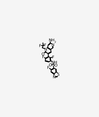 CC(F)(F)Cn1c(=O)c(-c2c(F)ccc(NS(=O)(=O)c3cc4scnc4cc3F)c2F)cc2cnc(N)cc21